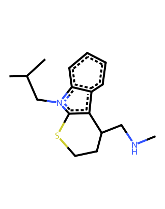 CNCC1CCSc2c1c1ccccc1n2CC(C)C